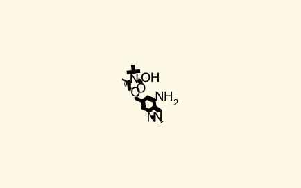 C[C@H](COCc1cc(N)c2cn(C)nc2c1)N(C(=O)O)C(C)(C)C